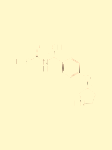 CC(=O)N[C@@H](C)c1ccc(O[C@H]2CCNC2)cc1